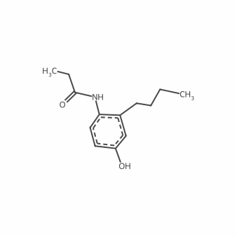 CCCCc1cc(O)ccc1NC(=O)CC